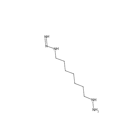 N=NNCCCCCCCNN